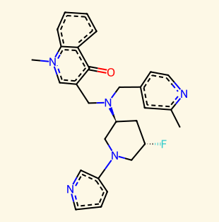 Cc1cc(CN(Cc2cn(C)c3ccccc3c2=O)[C@H]2C[C@H](F)CN(c3cccnc3)C2)ccn1